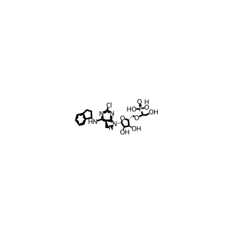 O=P(O)(O)C(CO)OC[C@H]1O[C@@H](n2ncc3c(N[C@H]4CCc5ccccc54)nc(Cl)nc32)[C@H](O)[C@@H]1O